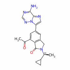 CC(=O)c1cc(-c2cnc3c(N)ncnn23)cc2c1C(=O)N([C@@H](C)C1CC1)C2